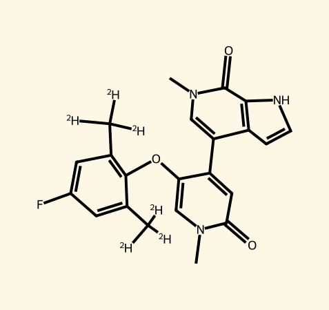 [2H]C([2H])([2H])c1cc(F)cc(C([2H])([2H])[2H])c1Oc1cn(C)c(=O)cc1-c1cn(C)c(=O)c2[nH]ccc12